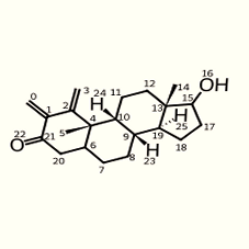 C=C1C(=C)[C@@]2(C)C(CC[C@@H]3[C@H]2CC[C@]2(C)C(O)CC[C@@H]32)CC1=O